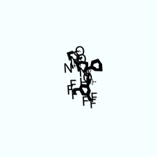 C[C@@H](OC[C@@]1(c2ccccc2)CC[C@](C#N)(N2CCCS2(=O)=O)CN1)c1cc(C(F)(F)F)cc(C(F)(F)F)c1